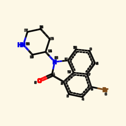 O=C1c2ccc(Br)c3cccc(c23)N1C1CCCNC1